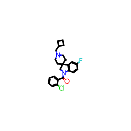 O=C(c1ccccc1Cl)N1CC2(CCN(CC3CCC3)CC2)c2cc(F)ccc21